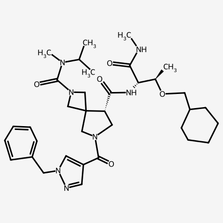 CNC(=O)[C@@H](NC(=O)[C@@H]1CN(C(=O)c2cnn(Cc3ccccc3)c2)CC12CN(C(=O)N(C)C(C)C)C2)[C@@H](C)OCC1CCCCC1